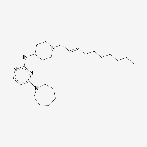 CCCCCCCC=CCN1CCC(Nc2nccc(N3CCCCCC3)n2)CC1